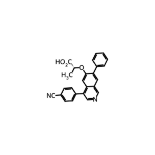 C[C@@H](Oc1cc2c(-c3ccc(C#N)cc3)cncc2cc1-c1ccccc1)C(=O)O